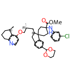 COC(=O)C1(Nc2cccc(Cl)c2)CCC2(CC1)c1cc(C3OCCCO3)ccc1C[C@H]2C[C@@H](C)COc1ccnc2c1[C@H](C)CCC2